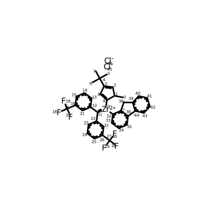 CC1C=C(C(C)(C)C)C=[C]1[Zr+2](=[C](c1cccc(C(F)(F)F)c1)c1cccc(C(F)(F)F)c1)[c]1cccc2c1Cc1ccccc1-2.[Cl-].[Cl-]